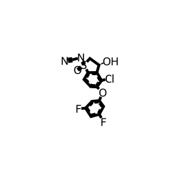 N#CN=S1(=O)C[C@H](O)c2c1ccc(Oc1cc(F)cc(F)c1)c2Cl